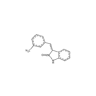 Cc1cccc(C=C2C(=O)Nc3ccccc32)c1